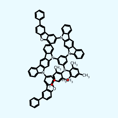 Cc1cc(C)c(B(c2cc(-n3c4ccccc4c4cc5c6ccccc6n(-c6ccc7oc8ccc(-c9ccccc9)cc8c7c6)c5cc43)cc(-n3c4ccccc4c4cc5c6ccccc6n(-c6ccc7oc8ccc(-c9ccccc9)cc8c7c6)c5cc43)c2)c2c(C)cc(C)cc2C)c(C)c1